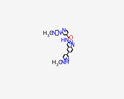 CNc1ccc(-c2ccc3nnc(NC(=O)c4ccnc(N5CCN(C)CC5)c4)cc3c2)cn1